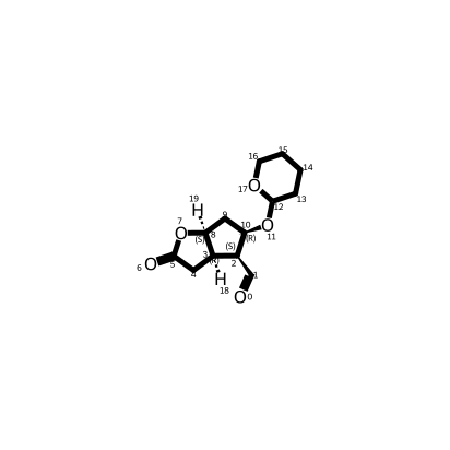 O=C[C@H]1[C@H]2CC(=O)O[C@H]2C[C@H]1OC1CCCCO1